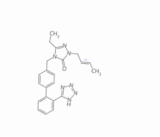 C/C=C/Cn1nc(CC)n(Cc2ccc(-c3ccccc3-c3nnn[nH]3)cc2)c1=O